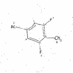 CC(=O)c1cc(F)c(C)c(F)c1